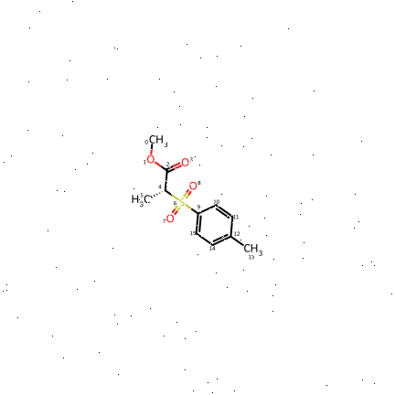 COC(=O)[C@@H](C)S(=O)(=O)c1ccc(C)cc1